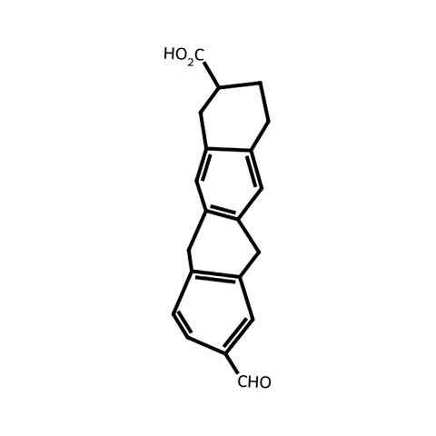 O=Cc1ccc2c(c1)Cc1cc3c(cc1C2)CC(C(=O)O)CC3